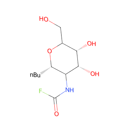 CCCC[C@@H]1OC(CO)[C@H](O)[C@H](O)C1NC(=O)F